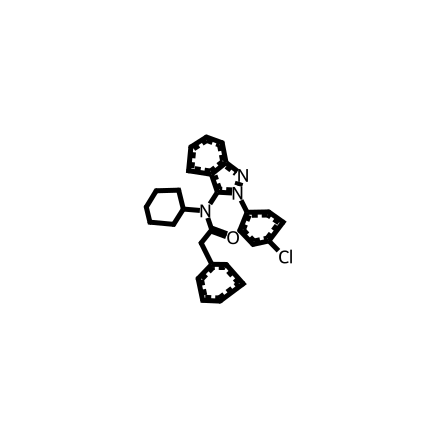 O=C(Cc1ccccc1)N(c1c2ccccc2nn1-c1ccc(Cl)cc1)C1CCCCC1